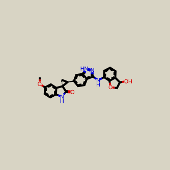 COc1ccc2c(c1)[C@]1(C[C@H]1c1ccc3c(Nc4cccc5c4OCC5O)n[nH]c3c1)C(=O)N2